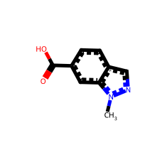 Cn1ncc2ccc(C(=O)O)cc21